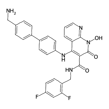 NCc1ccc(-c2ccc(Nc3c(C(=O)NCc4ccc(F)cc4F)c(=O)n(O)c4ncccc34)cc2)cc1